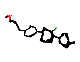 COCCCC1CCC(c2ccc(-c3ccc(C)cc3)c(F)c2)CC1